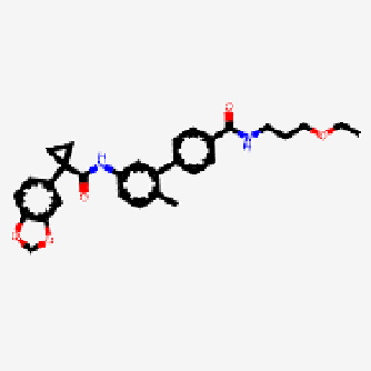 CCOCCCNC(=O)c1ccc(-c2cc(NC(=O)C3(c4ccc5c(c4)OCO5)CC3)ccc2C)cc1